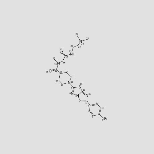 CC(C)c1ccc(-c2cn3nc(N4CCC(C(=O)N(C)CC(=O)NCCN(C)C)CC4)sc3n2)cc1